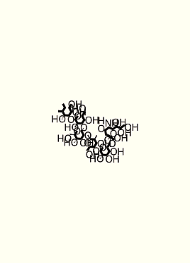 CCC(C)[C@@H](O)[C@H](O[C@@H]1OC(CO)[C@@H](O)C(O[C@H]2O[C@H](CO)[C@@H](O)C(O)C2O[C@@H]2OC(CO)[C@@H](O[C@@H]3OC(CO[C@]4(C(=O)O)C[C@@H](O)[C@@H](N)C([C@H](O)[C@H](O)CO)O4)[C@H](O)C(O)[C@@H]3O)C(O)[C@@H]2C)[C@H]1O)C(O)CO